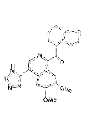 COc1cc2c(-c3nnn[nH]3)cnc(C(=O)c3cccc4ccccc34)c2cc1OC